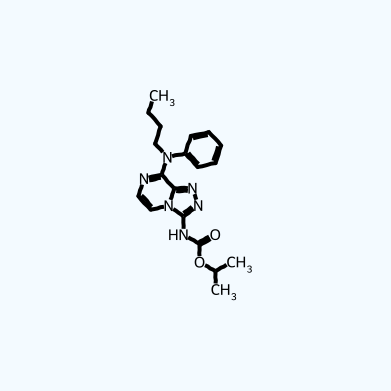 CCCCN(c1ccccc1)c1nccn2c(NC(=O)OC(C)C)nnc12